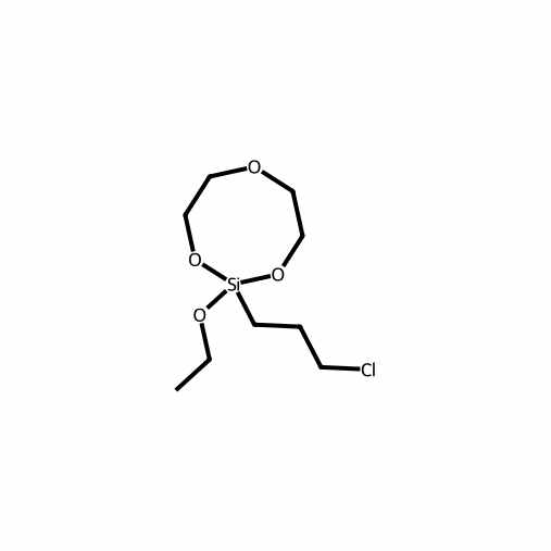 CCO[Si]1(CCCCl)OCCOCCO1